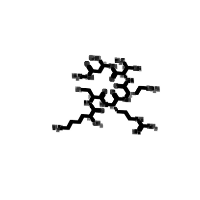 CC(C)C[C@H](NC(=O)[C@@H](C)CCCCN)C(=O)N[C@@H](CCCNC(=N)N)C(=O)N[C@@H](CCC(=O)O)C(=O)N[C@H](C(=O)N[C@H](C=O)CC(=O)NN)[C@@H](C)O